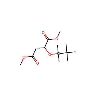 COC(=O)C[C@@H](O[Si](C)(C)C(C)(C)C)C(=O)OC